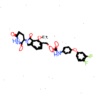 CCOc1c(COC(=O)Nc2ccc(Oc3ccc(F)c(F)c3)cc2)ccc2c1C(=O)N(C1CCC(=O)NC1=O)C2